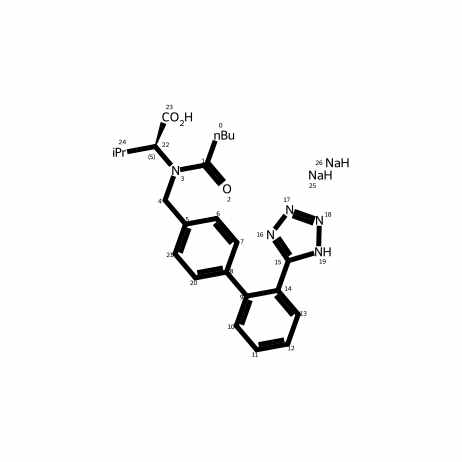 CCCCC(=O)N(Cc1ccc(-c2ccccc2-c2nnn[nH]2)cc1)[C@H](C(=O)O)C(C)C.[NaH].[NaH]